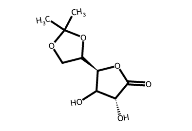 CC1(C)OCC([C@H]2OC(=O)[C@H](O)C2O)O1